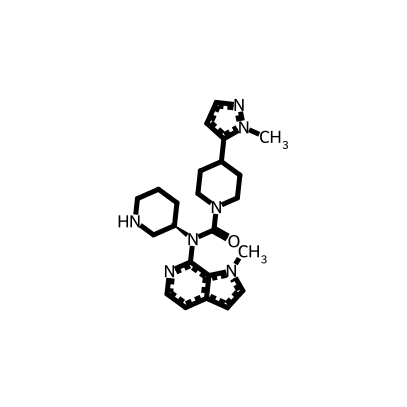 Cn1nccc1C1CCN(C(=O)N(c2nccc3ccn(C)c23)[C@@H]2CCCNC2)CC1